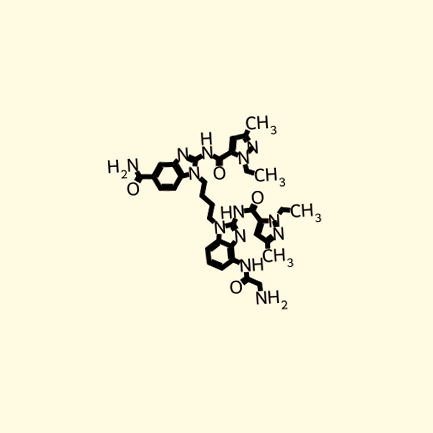 CCn1nc(C)cc1C(=O)Nc1nc2cc(C(N)=O)ccc2n1CCCCn1c(NC(=O)c2cc(C)nn2CC)nc2c(NC(=O)CN)cccc21